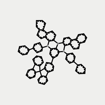 c1ccc(-c2ccc(N3c4cc(-c5ccc6c(c5)C5(c7ccccc7-c7ccccc75)c5ccccc5-6)cc5c4B(c4ccc6c(ccc7ccccc76)c43)c3ccc4c(ccc6ccccc64)c3N5c3ccc(-c4ccccc4)cc3)cc2)cc1